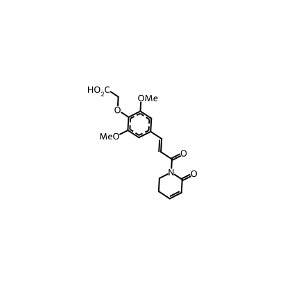 COc1cc(C=CC(=O)N2CCC=CC2=O)cc(OC)c1OCC(=O)O